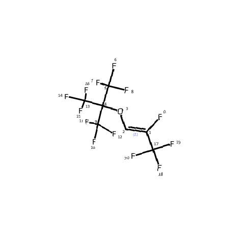 F/C(=C\OC(C(F)(F)F)(C(F)(F)F)C(F)(F)F)C(F)(F)F